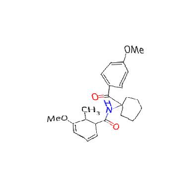 COC1=CC=CC(C(=O)NC2(C(=O)c3ccc(OC)cc3)CCCCC2)C1C